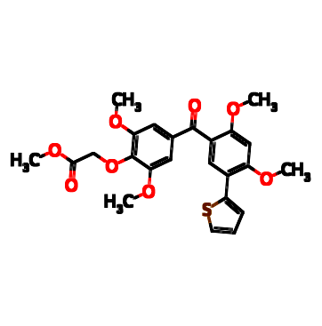 COC(=O)COc1c(OC)cc(C(=O)c2cc(-c3cccs3)c(OC)cc2OC)cc1OC